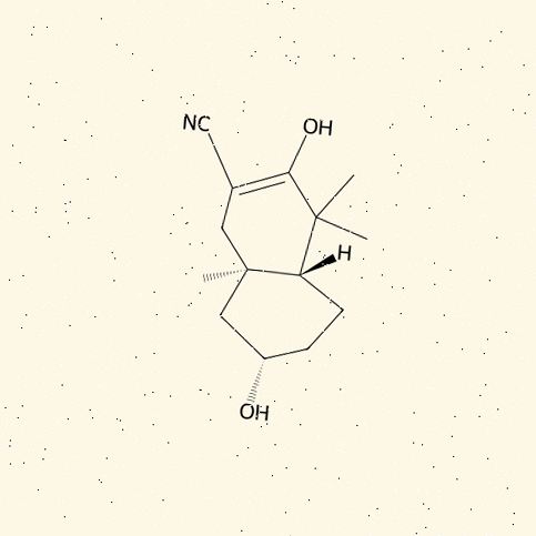 CC1(C)C(O)=C(C#N)C[C@]2(C)C[C@@H](O)CC[C@@H]12